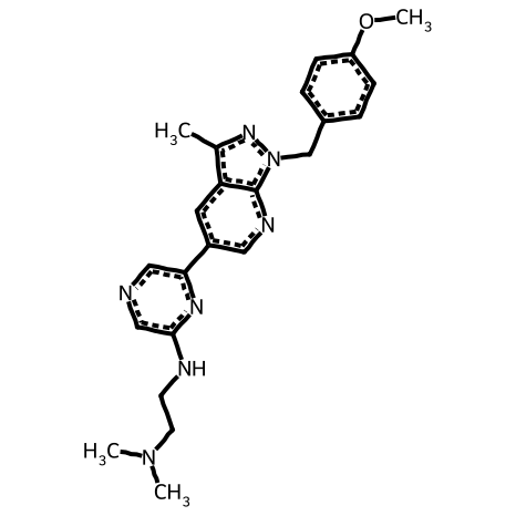 COc1ccc(Cn2nc(C)c3cc(-c4cncc(NCCN(C)C)n4)cnc32)cc1